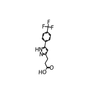 O=C(O)CCc1cc(-c2ccc(C(F)(F)F)cc2)[nH]n1